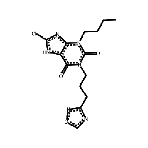 CCCCn1c(=O)n(CCCc2ncon2)c(=O)c2[nH]c(Cl)nc21